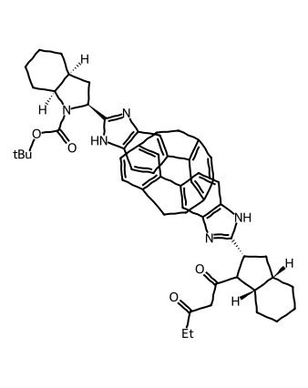 CCC(=O)CC(=O)C1[C@H]2CCCC[C@H]2C[C@H]1c1nc2cc(-c3cc4ccc3CCc3ccc(c(-c5ccc6[nH]c([C@@H]7C[C@@H]8CCCC[C@@H]8N7C(=O)OC(C)(C)C)nc6c5)c3)CC4)ccc2[nH]1